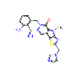 Cn1c2nc(Cn3ccnc3)sc2c2cnn(Cc3cccc(N)c3C=N)c(=O)c21